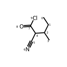 CCC(C)C(C#N)C(=O)Cl